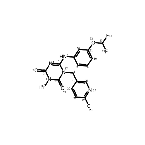 CC(C)n1c(=O)nc(Nc2cccc(OC(F)F)c2)n(Cc2ccc(Cl)nc2)c1=O